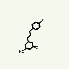 O=C1C=C(O)CC(CCCc2ccc(F)cc2)C1